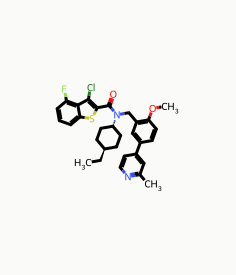 CC[C@H]1CC[C@H](N(Cc2cc(-c3ccnc(C)c3)ccc2OC)C(=O)c2sc3cccc(F)c3c2Cl)CC1